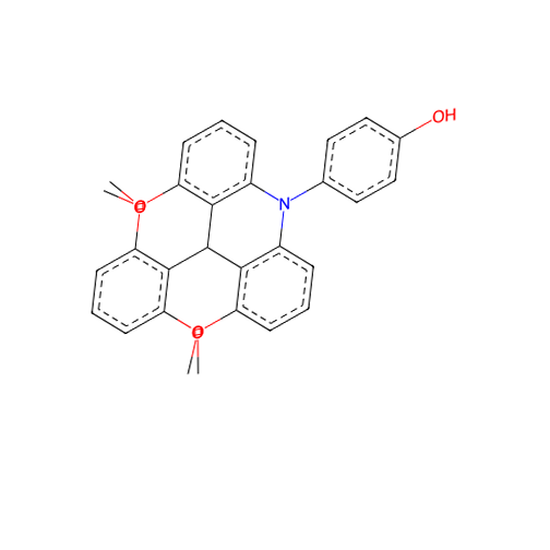 COc1cccc(OC)c1C1c2c(OC)cccc2N(c2ccc(O)cc2)c2cccc(OC)c21